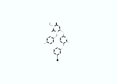 CCn1c(=O)cc(Nc2ccc(Oc3cccc(C#N)c3)c(C)n2)n(Cc2ccc(Cl)cc2)c1=O